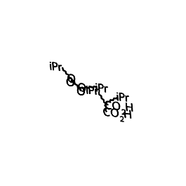 CC(C)CCCCCCC(CCCCCCC(C)C)(CCCC(=O)O)C(=O)O.CC(C)CCCCCCOC(=O)CCCCC(=O)OCCCCCCC(C)C